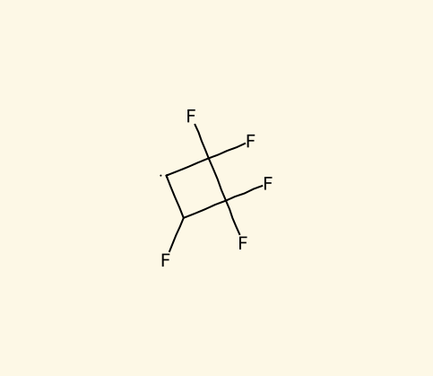 FC1[CH]C(F)(F)C1(F)F